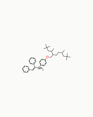 CC(CCC(COc1ccc([SiH2]C(=Cc2ccccc2)c2ccccc2)cc1)C(C)CC(C)(C)C)CC(C)(C)C